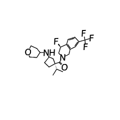 CC(C)[C@]1(C(=O)N2Cc3cc(C(F)(F)F)ccc3[C@H](F)C2)CC[C@@H](NC2CCOCC2)C1